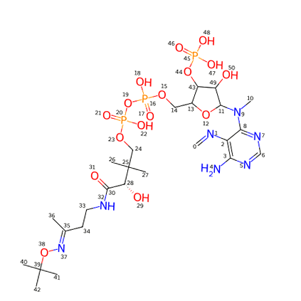 C=Nc1c(N)ncnc1N(C)C1OC(COP(=O)(O)OP(=O)(O)OCC(C)(C)[C@H](O)C(=O)NCC/C(C)=N/OC(C)(C)C)C(OP(=O)(O)O)C1O